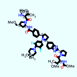 COC[C@H]1C[C@@H](NC(=O)c2ccc([C@H]3CC[C@H](c4ccc5[nH]c([C@@H]6CCCN6C(=O)[C@@H](NC(=O)OC)[C@@H](C)OC)nc5c4)N3c3cc(F)c(N4CC[Si](C)(C)CC4)c(F)c3)cc2)N(C(=O)[C@@H](NC(=O)O)[C@@H](C)OC)C1